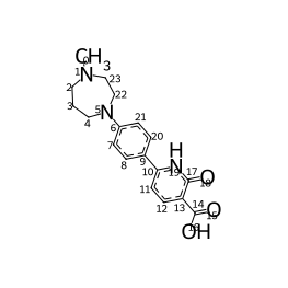 CN1CCCN(c2ccc(-c3ccc(C(=O)O)c(=O)[nH]3)cc2)CC1